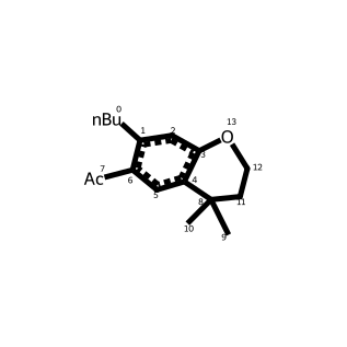 CCCCc1cc2c(cc1C(C)=O)C(C)(C)CCO2